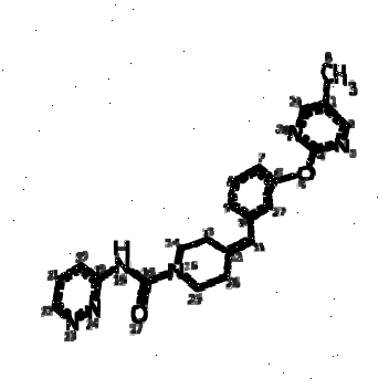 Cc1cnc(Oc2cccc(C=C3CCN(C(=O)Nc4cccnn4)CC3)c2)nc1